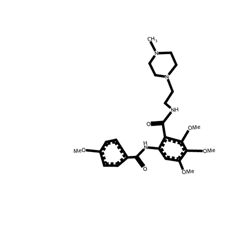 COc1ccc(C(=O)Nc2cc(OC)c(OC)c(OC)c2C(=O)NCCN2CCN(C)CC2)cc1